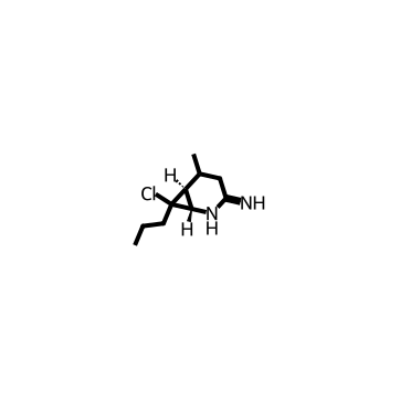 CCCC1(Cl)[C@H]2NC(=N)CC(C)[C@@H]21